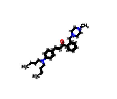 CCCCN(CCCC)c1ccc(C=CC(=O)c2ccccc2CN2CCN(C)CC2)cc1